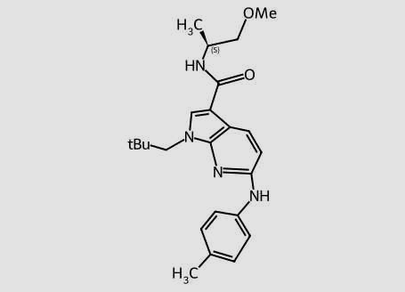 COC[C@H](C)NC(=O)c1cn(CC(C)(C)C)c2nc(Nc3ccc(C)cc3)ccc12